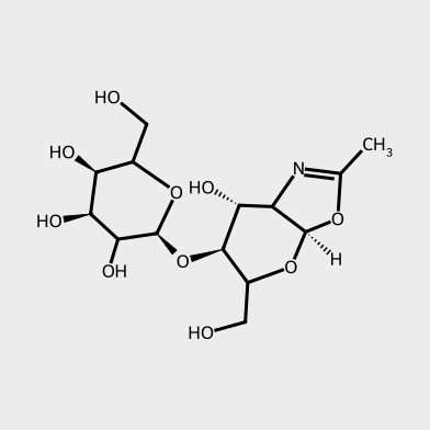 CC1=NC2[C@@H](O1)OC(CO)[C@@H](O[C@@H]1OC(CO)[C@H](O)[C@H](O)C1O)[C@@H]2O